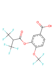 O=C(O)c1ccc(OC(F)(F)F)c(OC(=O)C(C(F)(F)F)C(F)(F)F)c1